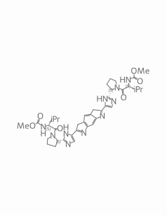 COC(=O)N[C@H](C(=O)N1CCC[C@H]1c1ncc(C2=Nc3cc4c(cc3C2)CC(c2cnc([C@@H]3CCCN3C(=O)[C@@H](NC(=O)OC)C(C)C)[nH]2)=N4)[nH]1)C(C)C